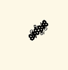 O=c1c2cc(Br)c3c4ccc5c6c(cc(Br)c(c7ccc(c2c73)c2nc3cccc7cccc(c73)n12)c46)c(=O)n1c2cccc3cccc(nc51)c32